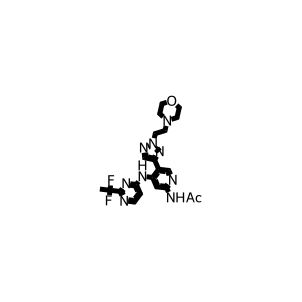 CC(=O)Nc1cc(Nc2ccnc(C(C)(F)F)n2)c(-c2cnn(CCN3CCOCC3)n2)cn1